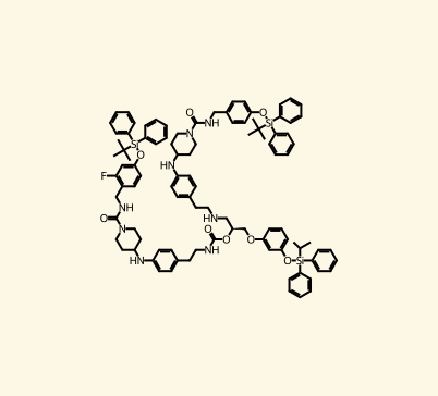 CC(C)[Si](Oc1cccc(OC[C@H](CNCCc2ccc(NC3CCN(C(=O)NCc4ccc(O[Si](c5ccccc5)(c5ccccc5)C(C)(C)C)cc4)CC3)cc2)OC(=O)NCCc2ccc(NC3CCN(C(=O)NCc4ccc(O[Si](c5ccccc5)(c5ccccc5)C(C)(C)C)cc4F)CC3)cc2)c1)(c1ccccc1)c1ccccc1